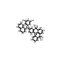 Cc1cc(C)cc(N(c2ccc3c(c2)C(C)(C)c2cccc4c2N3c2ccccc2C4(C)C)c2cccc3ccccc23)c1